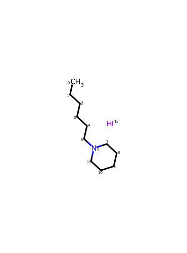 CCCCCCN1CCCCC1.I